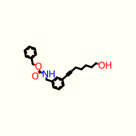 O=C(NCc1cccc(C#CCCCCCO)c1)OCc1ccccc1